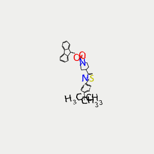 CC(C)(C)c1ccc(-c2nc(C3CCN(C(=O)OCC4c5ccccc5-c5ccccc54)CC3)cs2)cc1